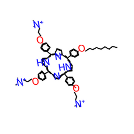 CCCCCCCCCOc1ccc(-c2c3nc(c(-c4ccc(OCCC[N+](C)(C)C)cc4)c4ccc([nH]4)c(-c4ccc(OCCC[N+](C)(C)C)cc4)c4nc(c(-c5ccc(OCCC[N+](C)(C)C)cc5)c5ccc2[nH]5)C=C4)C=C3)cc1